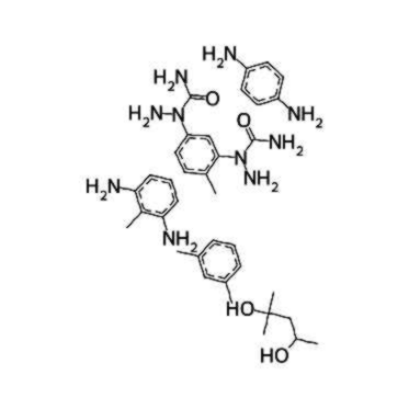 CC(O)CC(C)(C)O.Cc1c(N)cccc1N.Cc1ccc(N(N)C(N)=O)cc1N(N)C(N)=O.Cc1cccc(C)c1.Nc1ccc(N)cc1